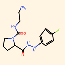 NCCNC(=O)N1CCCC1C(=O)NNc1ccc(F)cc1